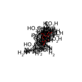 CC[C@H](C)[C@H](NC(=O)[C@@H](NC(=O)[C@H](CCC(=O)O)NC(=O)[C@@H](NC(=O)[C@H](CC(C)C)NC(=O)[C@H](C)NC(=O)[C@H](CCCCN)NC(=O)[C@@H](NC(=O)CNC(=O)[C@@H](N)CCCN=C(N)N)[C@@H](C)O)[C@@H](C)O)C(C)C)C(=O)N1CCC[C@H]1C(=O)N[C@@H](CC(C)C)C(=O)N[C@H](C(=O)N[C@@H](CCC(=O)O)C(=O)N[C@@H](CCC(=O)O)C(=O)N[C@@H](C)C(=O)N[C@@H](CCC(=O)O)C(=O)N[C@@H](CS)C(=O)O)[C@@H](C)O